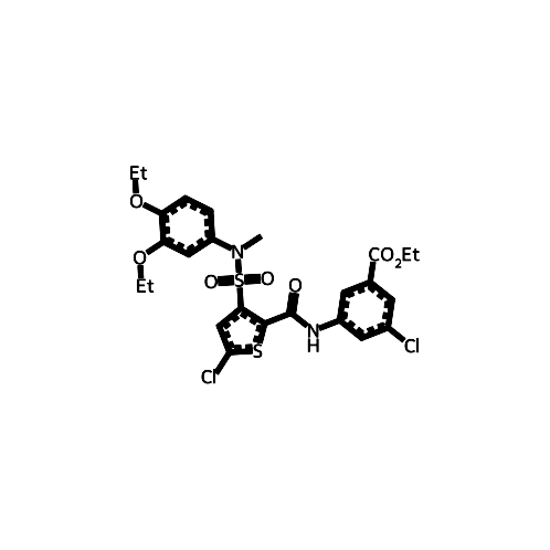 CCOC(=O)c1cc(Cl)cc(NC(=O)c2sc(Cl)cc2S(=O)(=O)N(C)c2ccc(OCC)c(OCC)c2)c1